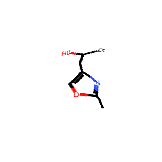 CCC(O)c1coc(C)n1